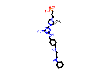 C[C@H]1CN(c2nc(N)nc(NCC3CCC(CNCCCNC4CCCCC4)CC3)n2)CCN1CCCP(=O)(O)O